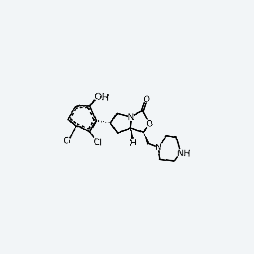 O=C1O[C@@H](CN2CCNCC2)[C@@H]2C[C@H](c3c(O)ccc(Cl)c3Cl)CN12